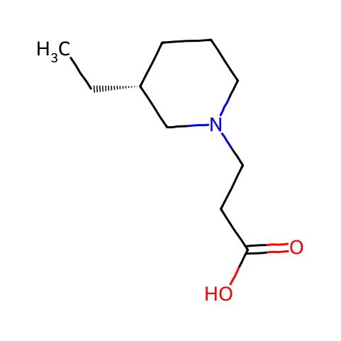 CC[C@@H]1CCCN(CCC(=O)O)C1